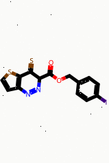 O=C(OCc1ccc(I)cc1)C1N=Nc2ccsc2C1=S